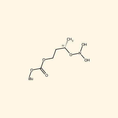 CCC(C)OC(=O)OCC[C@H](C)ON(O)O